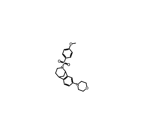 COc1ccc(S(=O)(=O)N2CCC3CC2c2cc(N4CCOCC4)ccc23)cc1